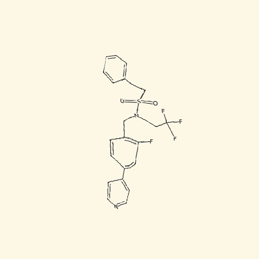 O=S(=O)(Cc1ccccc1)N(Cc1ccc(-c2ccncc2)cc1F)CC(F)(F)F